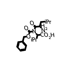 CC(C)CC(N)C(=O)N(C(=O)OCc1ccccc1)C(C(=O)O)C(C)C